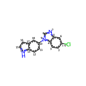 Clc1ccc2c(c1)ncn2-c1ccc2[nH]ccc2c1